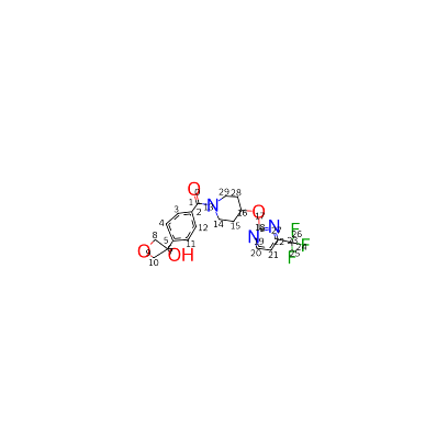 O=C(c1ccc(C2(O)COC2)cc1)N1CCC(Oc2nccc(C(F)(F)F)n2)CC1